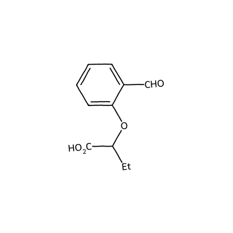 CCC(Oc1ccccc1C=O)C(=O)O